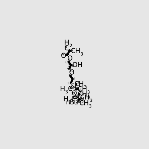 C=C(C)C(=O)OCC(O)COCCC[Si](C)(C)C(C)O[Si](C)(C)C(C)(C)CCCC